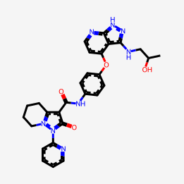 CC(O)CNc1n[nH]c2nccc(Oc3ccc(NC(=O)c4c5n(n(-c6ccccn6)c4=O)CCCC5)cc3)c12